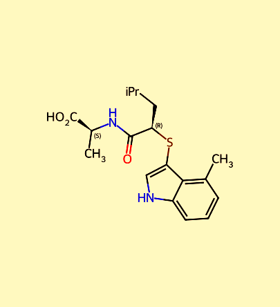 Cc1cccc2[nH]cc(S[C@H](CC(C)C)C(=O)N[C@@H](C)C(=O)O)c12